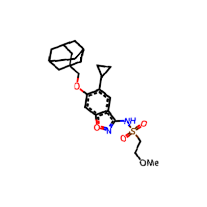 COCCS(=O)(=O)Nc1noc2cc(OCC34CC5CC(CC(C5)C3)C4)c(C3CC3)cc12